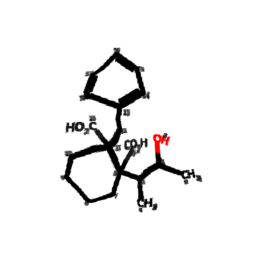 CC(O)C(C)C1(C(=O)O)CCCCC1(Cc1ccccc1)C(=O)O